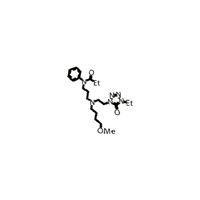 CCC(=O)N(CCCN(CCCCOC)CCn1nnn(CC)c1=O)c1ccccc1